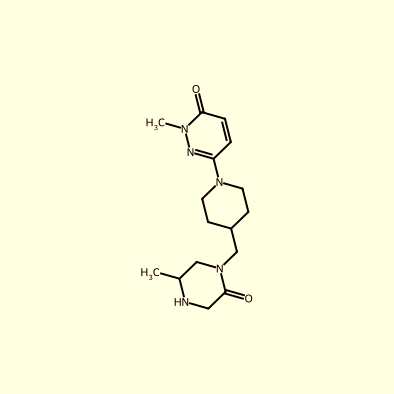 CC1CN(CC2CCN(c3ccc(=O)n(C)n3)CC2)C(=O)CN1